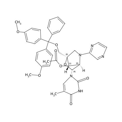 COc1ccc(C(OC[C@@]23CN(c4cnccn4)[C@@H]([C@H](n4cc(C)c(=O)[nH]c4=O)O2)[C@@H]3OC(C)=O)(c2ccccc2)c2ccc(OC)cc2)cc1